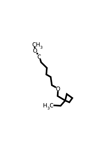 CCC1(COCCCCCCOC)CCC1